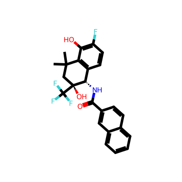 CC1(C)C[C@@](O)(C(F)(F)F)[C@@H](NC(=O)c2ccc3ccccc3c2)c2ccc(F)c(O)c21